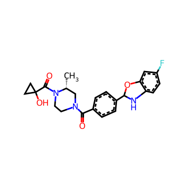 C[C@@H]1CN(C(=O)c2ccc(C3Nc4ccc(F)cc4O3)cc2)CCN1C(=O)C1(O)CC1